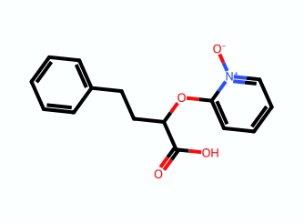 O=C(O)C(CCc1ccccc1)Oc1cccc[n+]1[O-]